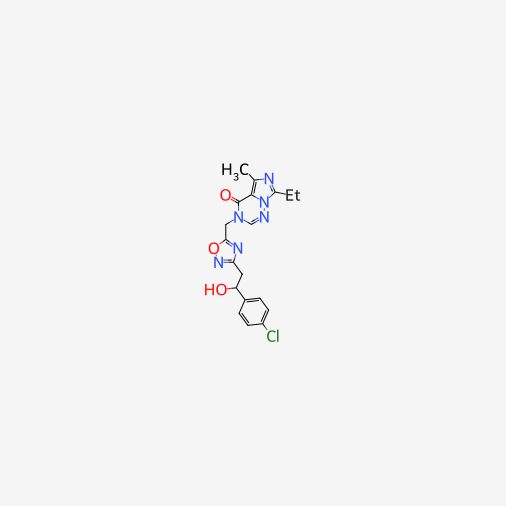 CCc1nc(C)c2c(=O)n(Cc3nc(CC(O)c4ccc(Cl)cc4)no3)cnn12